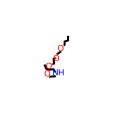 CCCCOCCOCCOC1(CC)CNCCO1